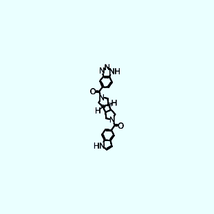 O=C(c1ccc2[nH]ccc2c1)N1CC2C(C1)[C@@H]1CN(C(=O)c3ccc4[nH]nnc4c3)C[C@H]21